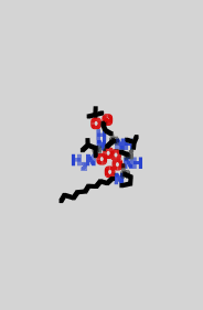 CCCCCCCCCC(=O)N1CCC[C@H]1C(=O)N[C@@H](CC(C)C)C(=O)N[C@@H](CCC(=O)OC(C)(C)C)C(=O)N[C@H](C(N)=O)C(C)C